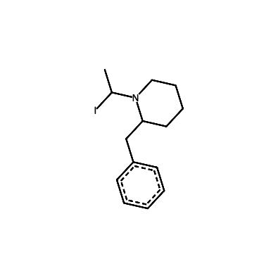 CC(I)N1CCCCC1Cc1ccccc1